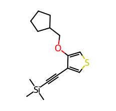 C[Si](C)(C)C#Cc1cscc1OCC1CCCC1